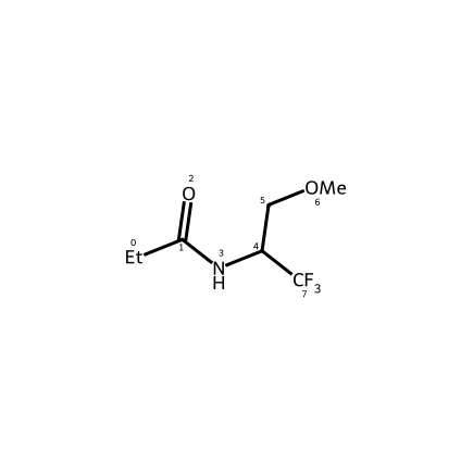 CCC(=O)NC(COC)C(F)(F)F